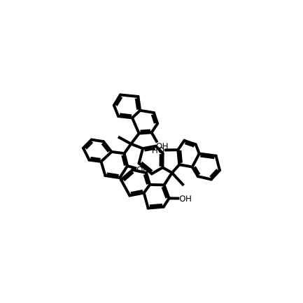 CC(c1ccc(C(C)(c2c(O)ccc3ccccc23)c2c(O)ccc3ccccc23)cc1)(c1c(O)ccc2ccccc12)c1c(O)ccc2ccccc12